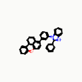 c1ccc(C2Nc3ccccc3N2c2cccc(-c3ccc4c5c(cccc35)-c3ccccc3O4)c2)cc1